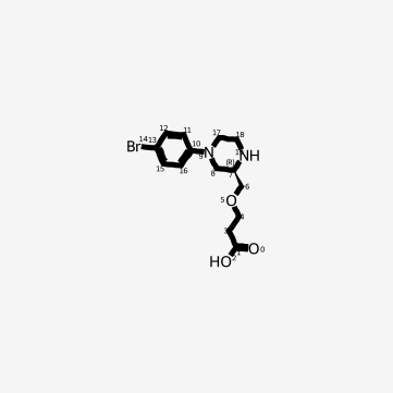 O=C(O)CCOC[C@H]1CN(c2ccc(Br)cc2)CCN1